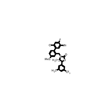 CSc1ccc(-c2cc(C(C)C)c(F)cc2Cl)c(CN2C(=O)OC(c3cc(C)cc(C(F)(F)F)c3)[C@@H]2C)c1